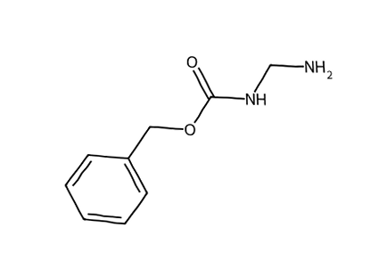 NCNC(=O)OCc1ccccc1